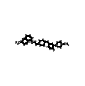 CN1CCN(c2cc(CC3CCN(CCOc4cccc5nc(C(F)(F)F)ccc45)CC3)ccc2F)CC1